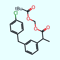 CC(C(=O)OCOC(=O)C(C)(C)C)c1cccc(Cc2ccc(Cl)cc2)c1